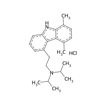 Cc1ccc(C)c2c1[nH]c1cccc(CCN(C(C)C)C(C)C)c12.Cl